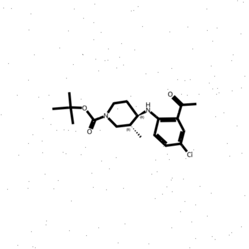 CC(=O)c1cc(Cl)ccc1N[C@@H]1CCN(C(=O)OC(C)(C)C)C[C@H]1C